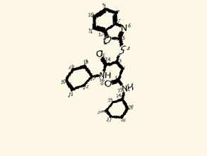 O=C(CC(Sc1nc2ccccc2o1)C(=O)NC1CCCCC1)NC1CCCCC1